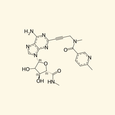 CNC(=O)[C@H]1O[C@@H](n2cnc3c(N)nc(C#CCN(C)C(=O)c4ccc(C)nc4)nc32)C(O)[C@@H]1O